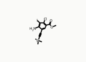 COC(=O)c1cc(C#C[Si](C)(C)C)c(N)c(I)c1Cl